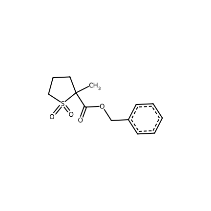 CC1(C(=O)OCc2ccccc2)CCCS1(=O)=O